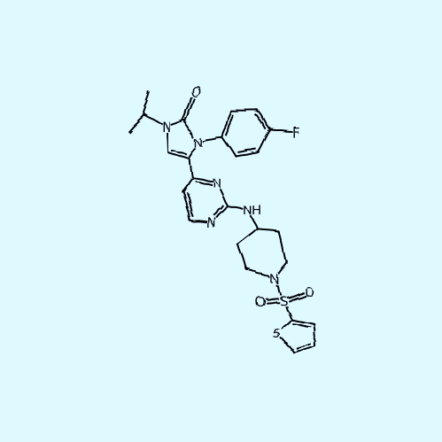 CC(C)n1cc(-c2ccnc(NC3CCN(S(=O)(=O)c4cccs4)CC3)n2)n(-c2ccc(F)cc2)c1=O